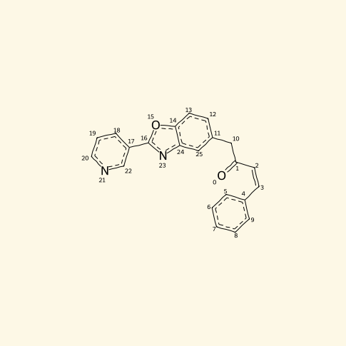 O=C(/C=C\c1ccccc1)Cc1ccc2oc(-c3cccnc3)nc2c1